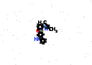 Cc1cc(C)n(-c2cccc(Oc3ccc4c(c3)[nH]c3ccccc34)c2)n1